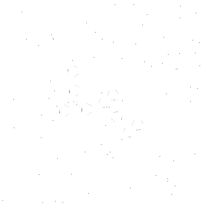 c1ccc(-c2ccc(N(c3ccccc3)c3ccc4oc5c(-c6ccc(-c7cccc8ccccc78)cc6)c6ccccc6cc5c4c3)cc2)cc1